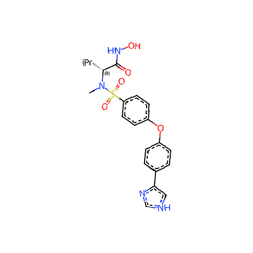 CC(C)[C@H](C(=O)NO)N(C)S(=O)(=O)c1ccc(Oc2ccc(-c3c[nH]cn3)cc2)cc1